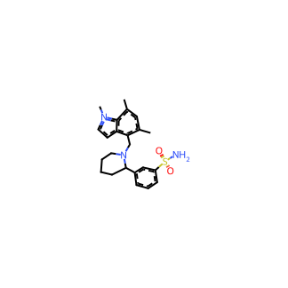 Cc1cc(C)c2c(ccn2C)c1CN1CCCCC1c1cccc(S(N)(=O)=O)c1